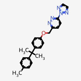 Cc1ccc(C(C)(C)c2ccc(OCc3ccc(-n4nccn4)nn3)cc2)cc1